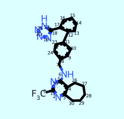 FC(F)(F)c1nc2c(c(NCc3ccc(-c4ccccc4-c4nnn[nH]4)cc3)n1)CCCCC2